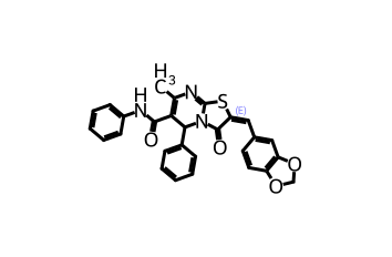 CC1=C(C(=O)Nc2ccccc2)C(c2ccccc2)n2c(s/c(=C/c3ccc4c(c3)OCO4)c2=O)=N1